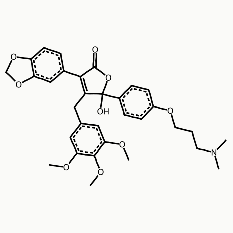 COc1cc(CC2=C(c3ccc4c(c3)OCO4)C(=O)OC2(O)c2ccc(OCCCN(C)C)cc2)cc(OC)c1OC